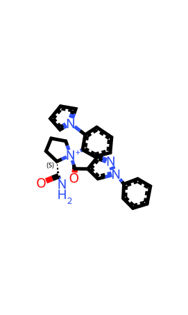 NC(=O)[C@@H]1CCC[N+]1(C(=O)c1cnn(-c2ccccc2)c1)c1ccccc1-n1cccc1